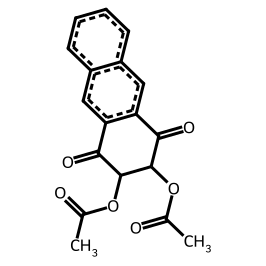 CC(=O)OC1C(=O)c2cc3ccccc3cc2C(=O)C1OC(C)=O